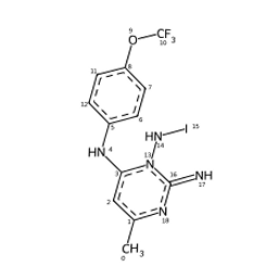 Cc1cc(Nc2ccc(OC(F)(F)F)cc2)n(NI)c(=N)n1